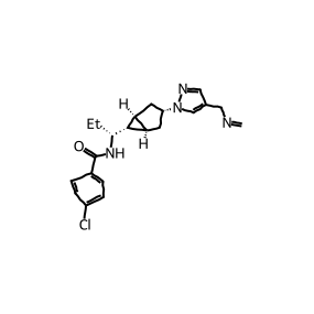 C=NCc1cnn([C@@H]2C[C@@H]3[C@H](C2)[C@H]3[C@@H](CC)NC(=O)c2ccc(Cl)cc2)c1